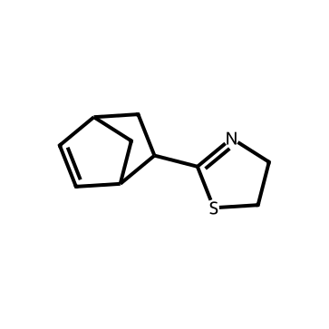 C1=CC2CC1CC2C1=NCCS1